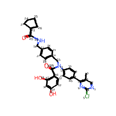 Cc1cnc(Cl)nc1-c1ccc(N(Cc2ccc(CNC(=O)C3CCCC3)cc2)C(=O)c2ccc(O)cc2O)cc1